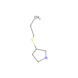 CCCSC1CC[N]C1